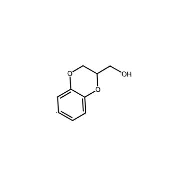 OCC1COc2c[c]ccc2O1